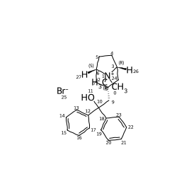 C[N+]1(C)[C@@H]2CC[C@H]1C[C@@H](CC(O)(c1ccccc1)c1ccccc1)C2.[Br-]